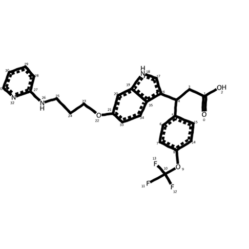 O=C(O)CC(c1ccc(OC(F)(F)F)cc1)c1c[nH]c2cc(OCCCNc3ccccn3)ccc12